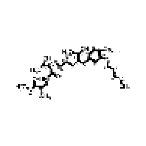 CNC(=O)[C@H](C)CNC(=O)[C@@H](C[C@H](O)[C@@H](N)C[C@H](Cc1ccc(OC)c(OCCCOC)c1)C(C)C)C(C)C